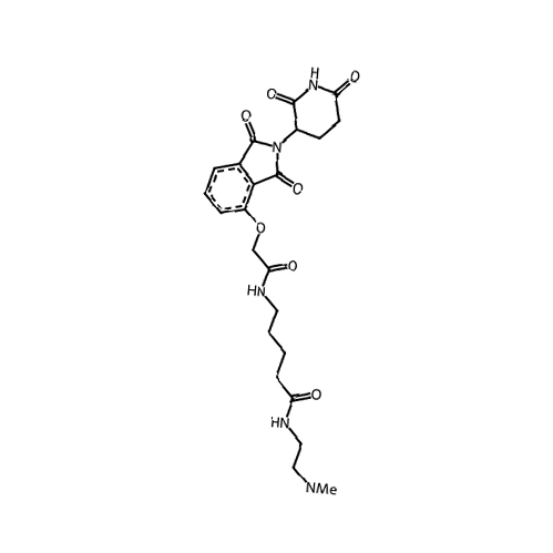 CNCCNC(=O)CCCCNC(=O)COc1cccc2c1C(=O)N(C1CCC(=O)NC1=O)C2=O